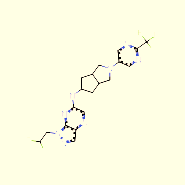 FC(F)Cn1ncc2ncc(NC3CC4CN(c5cnc(C(F)(F)F)nc5)CC4C3)nc21